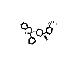 COc1cccc([C@]2(C#N)CC[C@H](N(Cc3ccccc3)C(=O)c3ccccc3)CC2)c1